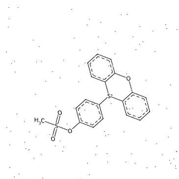 CS(=O)(=O)Oc1ccc([S+]2c3ccccc3Oc3ccccc32)cc1